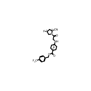 N#C[C@@H]1C[C@H](F)CN1C(=O)CNC12CCC(C(=O)OCc3ccc(C(F)(F)F)cc3)(CC1)CC2